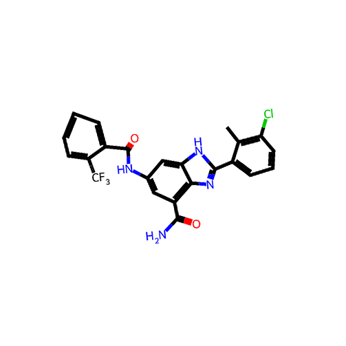 Cc1c(Cl)cccc1-c1nc2c(C(N)=O)cc(NC(=O)c3ccccc3C(F)(F)F)cc2[nH]1